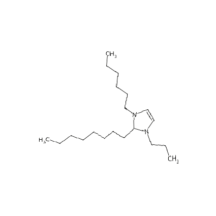 CCCCCCCCC1N(CCC)C=CN1CCCCCC